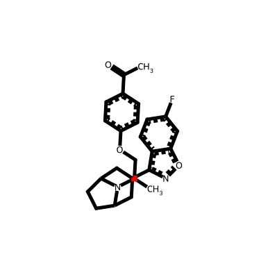 CC(=O)c1ccc(OCC(C)N2C3CCC2CC(c2noc4cc(F)ccc24)C3)cc1